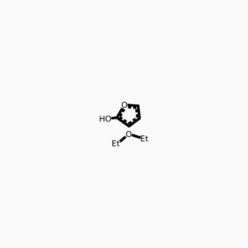 CCOCC.Oc1ccco1